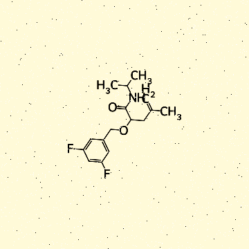 C=C(C)CC(OCc1cc(F)cc(F)c1)C(=O)NC(C)C